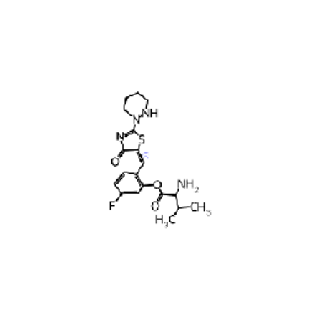 CC(C)C(N)C(=O)Oc1cc(F)ccc1/C=C1/SC(N2CCCCN2)=NC1=O